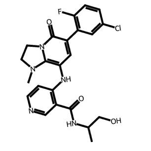 CC(CO)NC(=O)c1cnccc1Nc1cc(-c2cc(Cl)ccc2F)c(=O)n2c1N(C)CC2